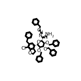 NN=C(N=NOCc1ccccc1)[C@H]1O[C@@H](c2cc(Cc3ccccc3)c(Cl)c3c2CCO3)[C@H](OCc2ccccc2)[C@@H](OCc2ccccc2)[C@@H]1OCc1ccccc1